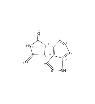 O=C1CSC(=O)N1.c1ccc2[nH]ccc2c1